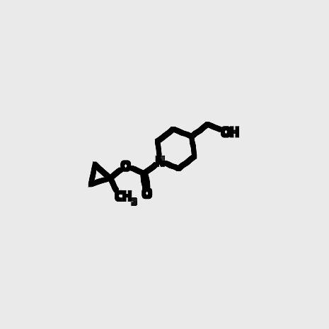 CC1(OC(=O)N2CCC(CO)CC2)CC1